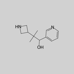 CC(C)(C1CNC1)C(O)c1cccnc1